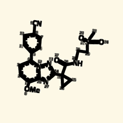 COc1ccc(-c2ccc(C#N)cc2)n2nc(C3(C(=O)NCCS(C)(=O)=O)CC3)nc12